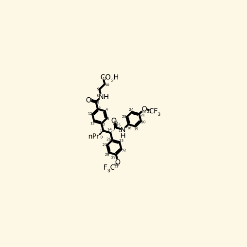 CCC[C@@H](c1ccc(C(=O)NCCC(=O)O)cc1)[C@H](C(=O)Nc1ccc(OC(F)(F)F)cc1)c1ccc(OC(F)(F)F)cc1